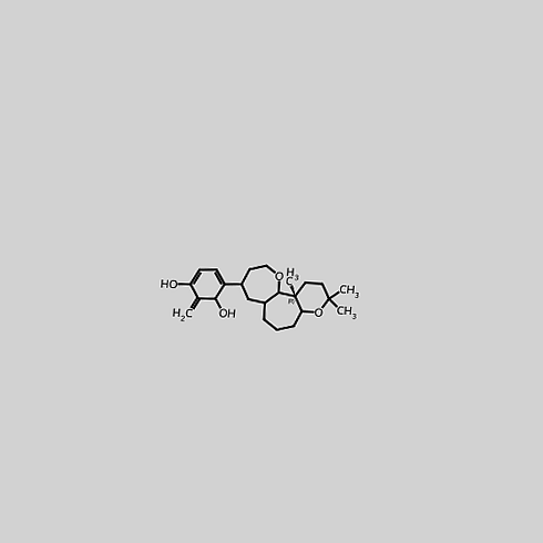 C=C1C(O)=CC=C(C2CCOC3C(CCCC4OC(C)(C)CC[C@]43C)C2)C1O